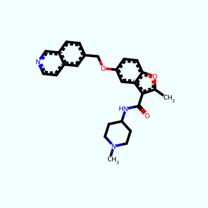 Cc1oc2ccc(OCc3ccc4cnccc4c3)cc2c1C(=O)NC1CCN(C)CC1